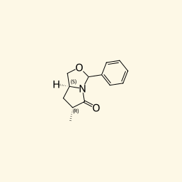 C[C@@H]1C[C@H]2COC(c3ccccc3)N2C1=O